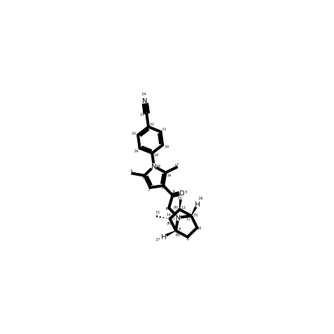 Cc1cc(C(=O)CN2[C@@H]3CC[C@H]2[C@H](C)[C@H]3C)c(C)n1-c1ccc(C#N)cc1